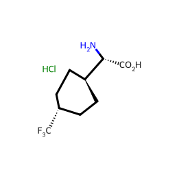 Cl.N[C@H](C(=O)O)[C@H]1CC[C@H](C(F)(F)F)CC1